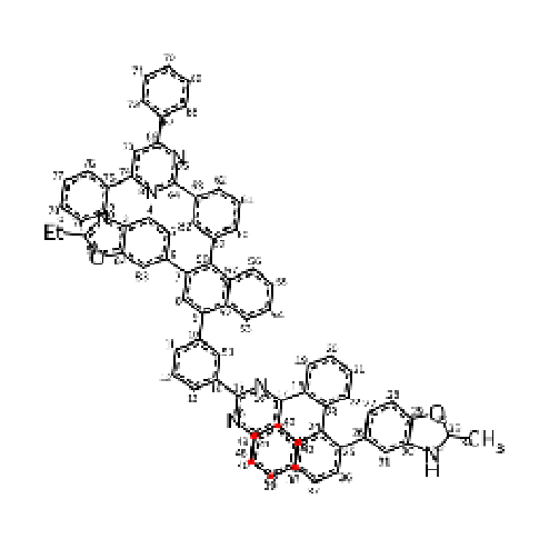 CCc1nc2ccc(-c3cc(-c4cccc(-c5nc(-c6ccccc6-c6c(-c7ccc8c(c7)NC(C)O8)ccc7ccccc67)c6ccccc6n5)c4)c4ccccc4c3-c3cccc(-c4nc(-c5ccccc5)cc(-c5ccccc5)n4)c3)cc2o1